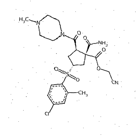 Cc1cc(Cl)ccc1S(=O)(=O)[C@@H]1C[C@@H](C(=O)N2CCN(C)CC2)[C@](C(N)=O)(C(=O)OCC#N)C1